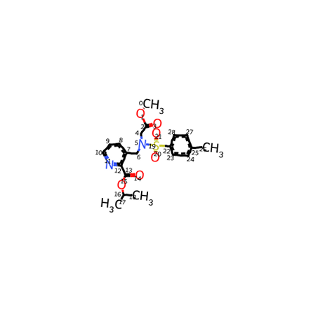 COC(=O)CN(Cc1cccnc1C(=O)OC(C)C)S(=O)(=O)c1ccc(C)cc1